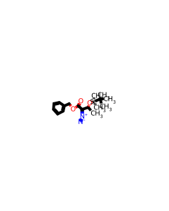 CC(O[Si](C)(C)C(C)(C)C)C(=[N+]=[N-])C(=O)OCc1ccccc1